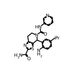 CC(C)c1ccc(N)c(C2c3sc(C(N)=O)nc3CCN2C(=O)Nc2cccnc2)c1